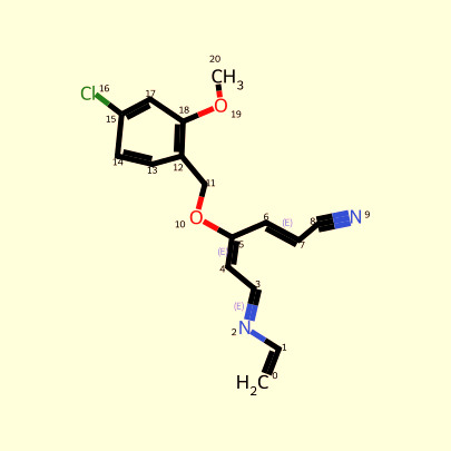 C=C/N=C/C=C(\C=C\C#N)OCc1ccc(Cl)cc1OC